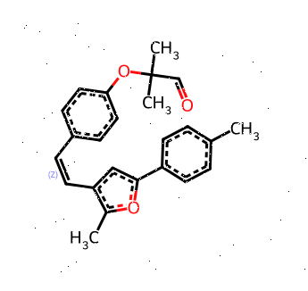 Cc1ccc(-c2cc(/C=C\c3ccc(OC(C)(C)C=O)cc3)c(C)o2)cc1